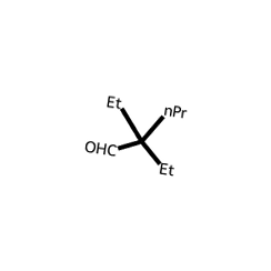 CCCC(C=O)(CC)CC